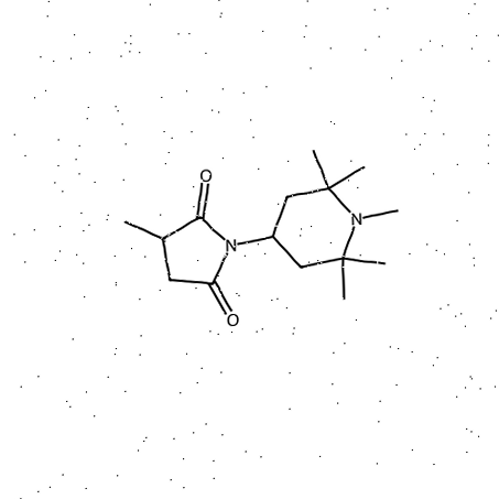 CC1CC(=O)N(C2CC(C)(C)N(C)C(C)(C)C2)C1=O